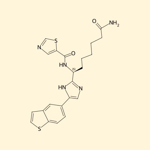 NC(=O)CCCCC[C@H](NC(=O)c1cncs1)c1ncc(-c2ccc3sccc3c2)[nH]1